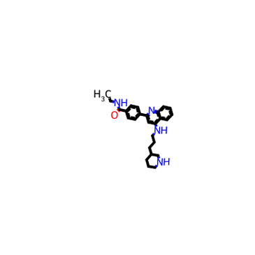 CCNC(=O)c1ccc(-c2cc(NCCCC3CCCNC3)c3ccccc3n2)cc1